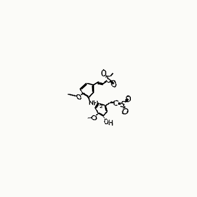 COc1ccc(C=C=S(=O)=O)cc1O.COc1ccc(C=CS(C)(=O)=O)cc1N